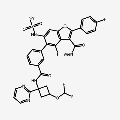 CCCS(=O)(=O)Nc1cc2oc(-c3ccc(F)cc3)c(C(=O)NC)c2c(F)c1-c1cccc(C(=O)NC2(c3ncccn3)CC(OC(F)F)C2)c1